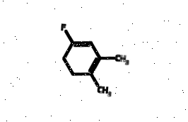 CC1=C(C)CCC(F)=C1